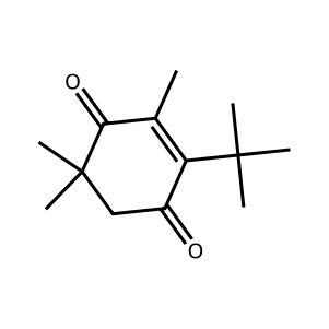 CC1=C(C(C)(C)C)C(=O)CC(C)(C)C1=O